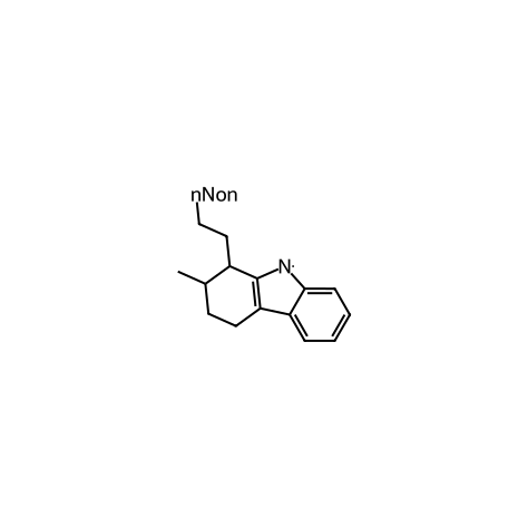 CCCCCCCCCCCC1C2=C(CCC1C)c1ccccc1[N]2